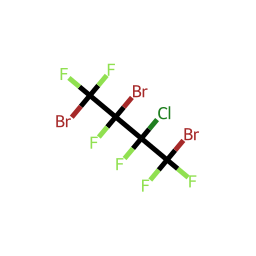 FC(F)(Br)C(F)(Cl)C(F)(Br)C(F)(F)Br